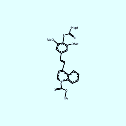 CCCCCCCC(=O)Oc1c(OC)cc(C=Cc2cc[n+](C(=O)OCCC)c3ccccc23)cc1OC